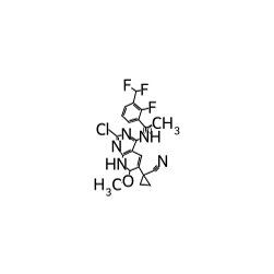 COC1Nc2nc(Cl)nc(N[C@H](C)c3cccc(C(F)F)c3F)c2C=C1C1(C#N)CC1